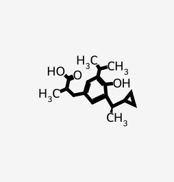 CC(Cc1cc(C(C)C)c(O)c([C@H](C)C2CC2)c1)C(=O)O